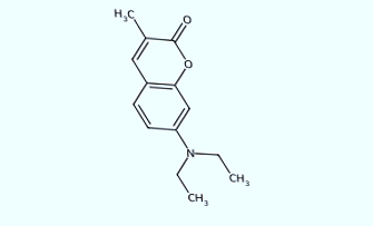 CCN(CC)c1ccc2cc(C)c(=O)oc2c1